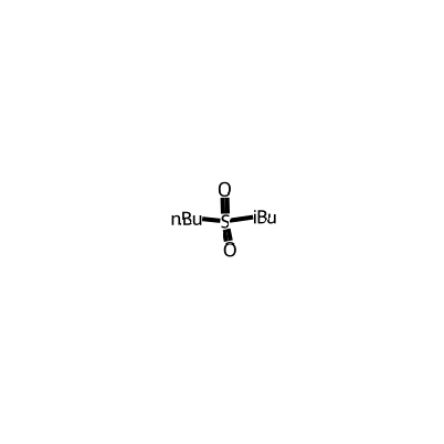 CCCCS(=O)(=O)C(C)CC